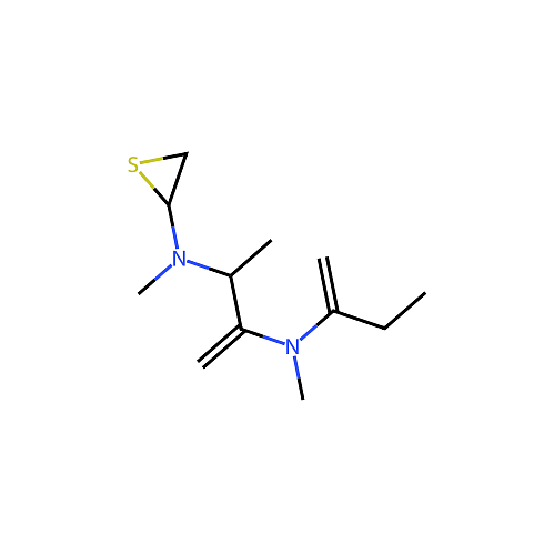 C=C(CC)N(C)C(=C)C(C)N(C)C1CS1